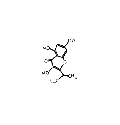 CC(C)c1oc2cc(O)cc(O)c2c(=O)c1O